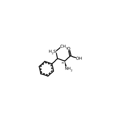 C[SiH2]C(c1ccccc1)[C@H](N)C(=O)O